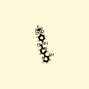 O=C(Nc1ccc(S(=O)(=O)C(F)(F)F)cc1)c1ccc(-c2ncccc2S)cn1